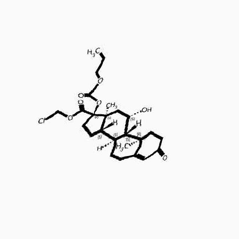 CCCOC(=O)O[C@]1(C(=O)OCCl)CC[C@H]2[C@@H]3CCC4=CC(=O)CC[C@]4(C)[C@H]3[C@@H](O)C[C@@]21C